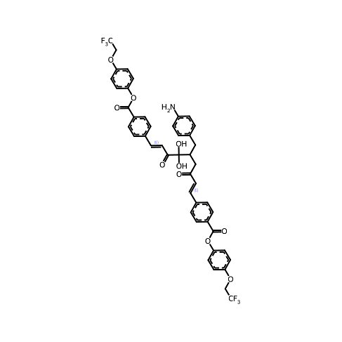 Nc1ccc(CC(CC(=O)/C=C/c2ccc(C(=O)Oc3ccc(OCC(F)(F)F)cc3)cc2)C(O)(O)C(=O)/C=C/c2ccc(C(=O)Oc3ccc(OCC(F)(F)F)cc3)cc2)cc1